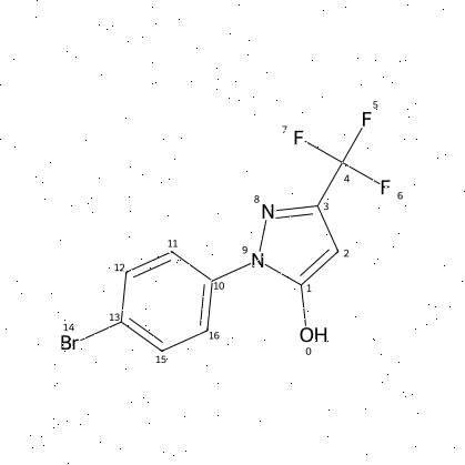 Oc1cc(C(F)(F)F)nn1-c1ccc(Br)cc1